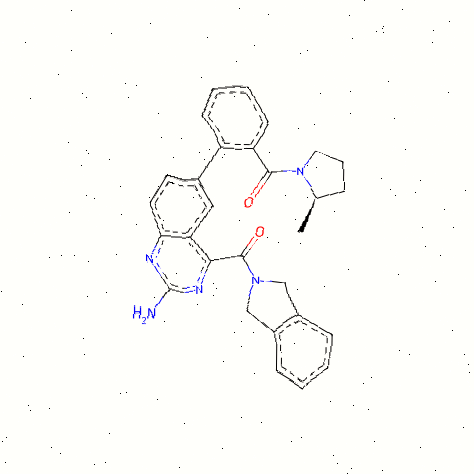 C[C@@H]1CCCN1C(=O)c1ccccc1-c1ccc2nc(N)nc(C(=O)N3Cc4ccccc4C3)c2c1